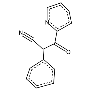 N#CC(C(=O)c1ccccn1)c1ccccc1